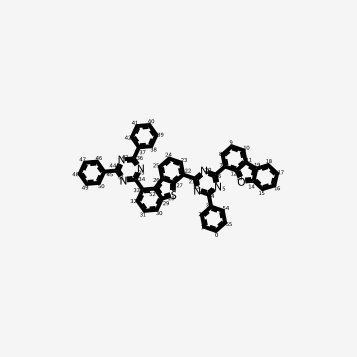 c1ccc(-c2nc(-c3cccc4c3oc3ccccc34)nc(-c3cccc4c3sc3cccc(-c5nc(-c6ccccc6)nc(-c6ccccc6)n5)c34)n2)cc1